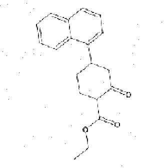 CCOC(=O)C1CCC(c2cccc3ccccc23)CC1=O